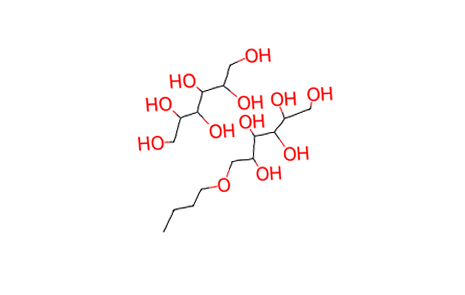 CCCCOCC(O)C(O)C(O)C(O)CO.OCC(O)C(O)C(O)C(O)CO